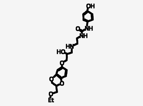 CCOCC1COc2cc(OCC(O)CNCCNC(=O)Nc3ccc(O)cc3)ccc2O1